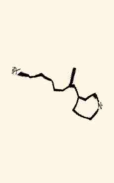 CC(C)CCCC(C)C1CC[N]C1